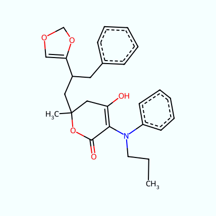 CCCN(C1=C(O)CC(C)(CC(Cc2ccccc2)C2=COCO2)OC1=O)c1ccccc1